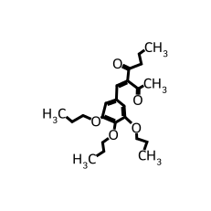 CCCOc1cc(/C=C(\C(C)=O)C(=O)CCC)cc(OCCC)c1OCCC